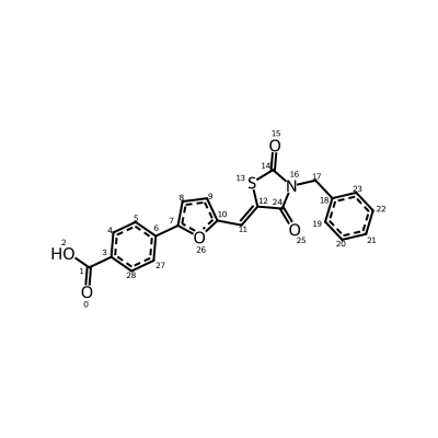 O=C(O)c1ccc(-c2ccc(/C=C3\SC(=O)N(Cc4ccccc4)C3=O)o2)cc1